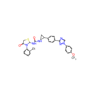 CCc1ccccc1N1C(=O)CSC1NC(=O)NC1CC1c1ccc(-c2ncn(-c3ccc(OC(F)(F)F)cc3)n2)cc1